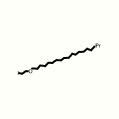 CC(C)CCCCCCCCCCCCCCCCOCCI